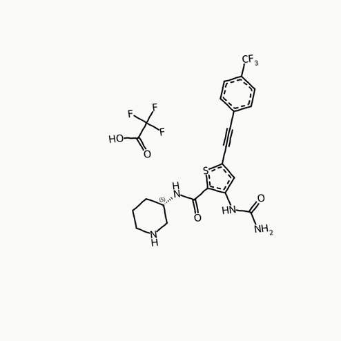 NC(=O)Nc1cc(C#Cc2ccc(C(F)(F)F)cc2)sc1C(=O)N[C@H]1CCCNC1.O=C(O)C(F)(F)F